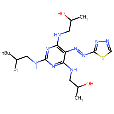 CCCCC(CC)CNc1nc(NCC(C)O)c(N=Nc2nncs2)c(NCC(C)O)n1